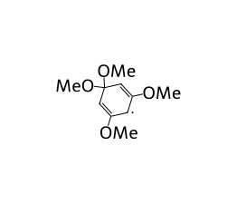 COC1=CC(OC)(OC)C=C(OC)[CH]1